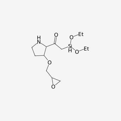 CCO[SiH](CC(=O)C1NCCC1OCC1CO1)OCC